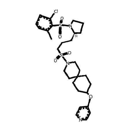 Cc1cccc(Cl)c1S(=O)(=O)N1CCC[C@H]1CCCS(=O)(=O)N1CCC2(CCC(Oc3ccncc3)CC2)CC1